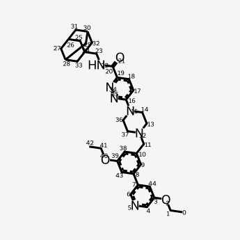 CCOc1cncc(-c2cc(CN3CCN(c4ccc(C(=O)NCC56CC7CC(CC(C7)C5)C6)nn4)CC3)cc(OCC)c2)c1